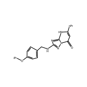 CCCc1cc(=O)n2nc(NCc3ccc(OC(C)C)cc3)nc2[nH]1